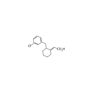 O=C(O)C=C1CCCCC1Cc1cccc(Cl)c1